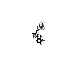 Cc1ccc(-c2nc(C)c(CCO[N+](=O)[O-])s2)c(F)c1F